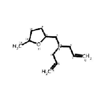 C=CCN(CC=C)CC1CC[C](C)O1